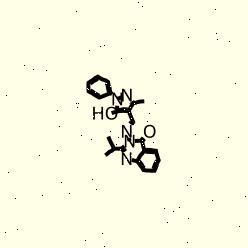 Cc1nn(-c2ccccc2)c(O)c1C=Nn1c(C(C)C)nc2ccccc2c1=O